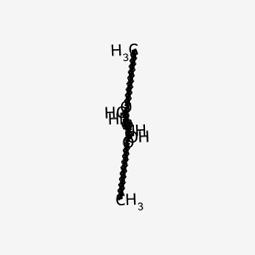 CCCCCCCCCCCCCCCCCCCCOCC(O)CNc1ccc(NCC(O)COCCCCCCCCCCCCCCCCCCCC)cc1